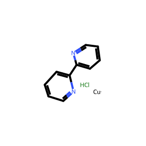 Cl.[Cu].c1ccc(-c2ccccn2)nc1